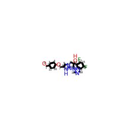 O=Cc1ccc(OCC2=CN(CC(O)(Cn3cncn3)c3ccc(F)cc3F)NN2)cc1